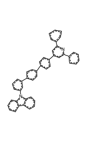 c1ccc(-c2cc(-c3ccc(-c4ccc(-c5cccc(-n6c7ccccc7c7ccccc76)c5)cc4)cc3)cc(-c3ccccc3)n2)cc1